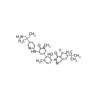 CCC(C)(CN)c1ccc(Nc2cc(-c3c(C)ccc(-n4ncc5cc(C(C)(C)C)cc(F)c5c4=O)c3O)cn(C)c2=O)nc1